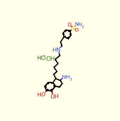 Cl.Cl.NC1CCc2c(ccc(O)c2O)C1CCCCCCNCCc1ccc(S(N)(=O)=O)cc1